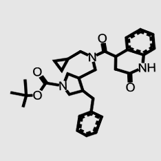 CC(C)(C)OC(=O)N1CC(Cc2ccccc2)C(CN(CC2CC2)C(=O)C2CC(=O)Nc3ccccc32)C1